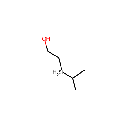 CC(C)[SiH2]CCO